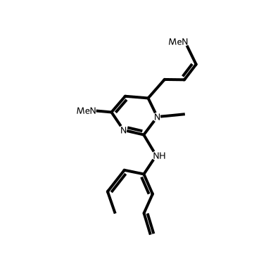 C=C/C=C(\C=C/C)NC1=NC(NC)=CC(C/C=C\NC)N1C